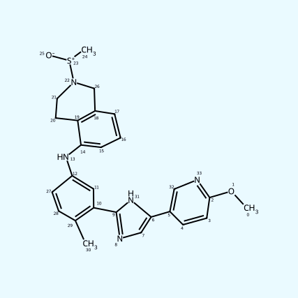 COc1ccc(-c2cnc(-c3cc(Nc4cccc5c4CCN([S+](C)[O-])C5)ccc3C)[nH]2)cn1